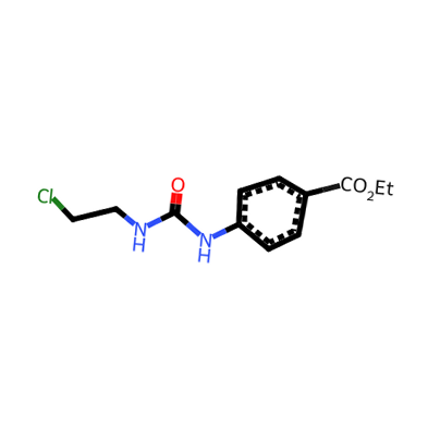 CCOC(=O)c1ccc(NC(=O)NCCCl)cc1